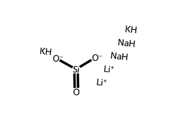 O=[Si]([O-])[O-].[KH].[KH].[Li+].[Li+].[NaH].[NaH]